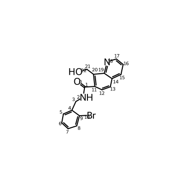 O=C(NCc1ccccc1Br)c1ccc2cccnc2c1CO